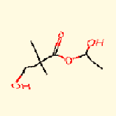 CC(O)OC(=O)C(C)(C)CO